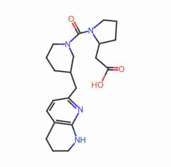 O=C(O)CC1CCCN1C(=O)N1CCCC(Cc2ccc3c(n2)NCCC3)C1